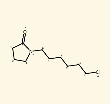 O=C1CCCN1CCCCCCCl